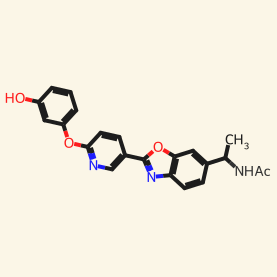 CC(=O)NC(C)c1ccc2nc(-c3ccc(Oc4cccc(O)c4)nc3)oc2c1